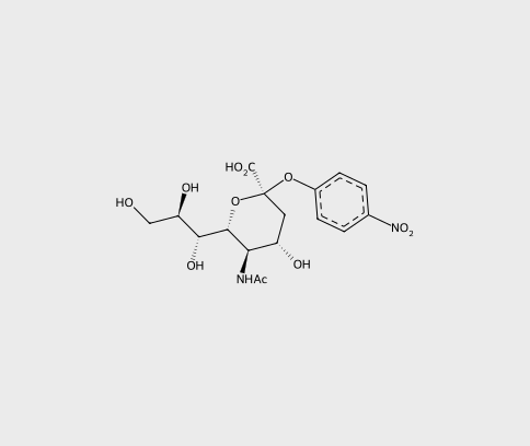 CC(=O)N[C@H]1[C@H]([C@H](O)[C@H](O)CO)O[C@](Oc2ccc([N+](=O)[O-])cc2)(C(=O)O)C[C@@H]1O